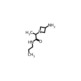 CCCNC(=O)C(C)N1CC(N)C1